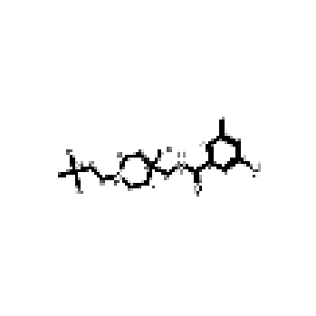 Cc1cc(Cl)cc(C(=O)NCC2(F)CCN(CCC(C)(C)C)CC2)c1